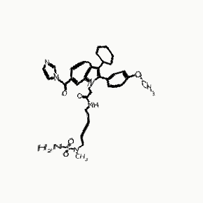 COc1ccc(-c2c(C3CCCCC3)c3ccc(C(=O)n4ccnc4)cc3n2CC(=O)NCCCCN(C)S(N)(=O)=O)cc1